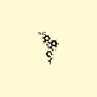 COc1ccc(-c2nnc(N[C@@H]3CCCN(CCF)C3)c3ccccc23)c(F)c1